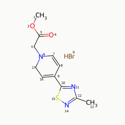 Br.COC(=O)CN1C=CC(c2nc(C)ns2)=CC1